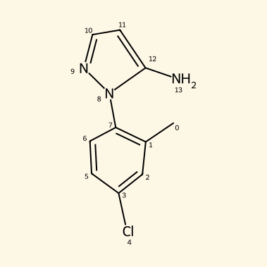 Cc1cc(Cl)ccc1-n1nccc1N